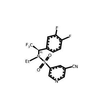 CCN([C@H](c1ccc(F)c(F)c1)C(F)(F)F)S(=O)(=O)c1cncc(C#N)c1